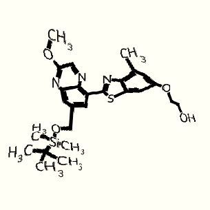 COc1cnc2c(-c3nc4c(C)cc(OCCO)cc4s3)cc(CO[Si](C)(C)C(C)(C)C)cc2n1